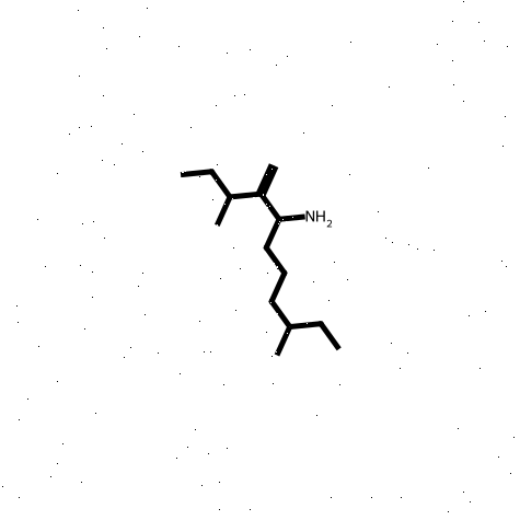 C=C(C(C)CC)C(N)CCCC(C)CC